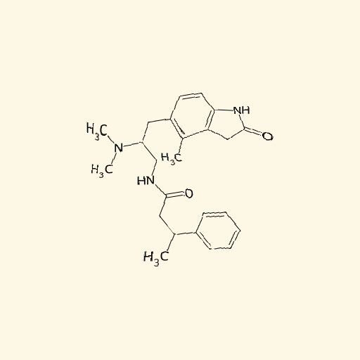 Cc1c(CC(CNC(=O)CC(C)c2ccccc2)N(C)C)ccc2c1CC(=O)N2